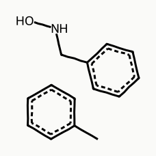 Cc1ccccc1.ONCc1ccccc1